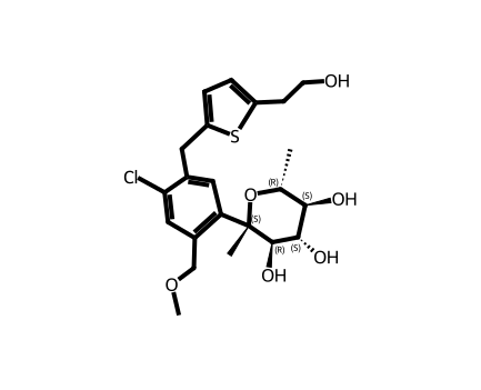 COCc1cc(Cl)c(Cc2ccc(CCO)s2)cc1[C@]1(C)O[C@H](C)[C@@H](O)[C@H](O)[C@H]1O